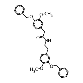 COc1cc(CC(=O)NCCc2ccc(OC)c(OCc3ccccc3)c2)ccc1OCc1ccccc1